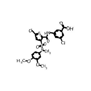 COc1ccc(N(C)S(=O)(=O)c2cc(Cl)sc2C(=O)Nc2cc(Cl)cc(C(=O)O)c2)cc1OC